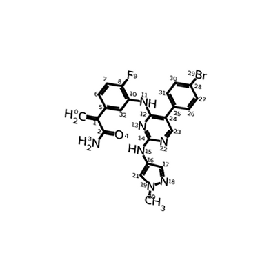 C=C(C(N)=O)c1ccc(F)c(Nc2nc(Nc3cnn(C)c3)ncc2-c2ccc(Br)cc2)c1